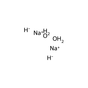 O.O.[H-].[H-].[Na+].[Na+]